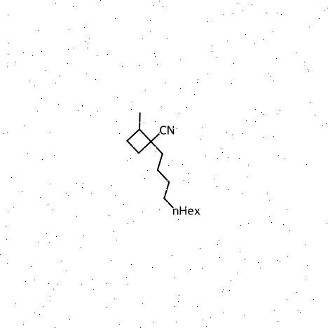 CCCCCCCCCCC1(C#N)CCC1C